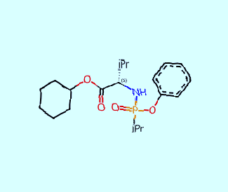 CC(C)[C@H](NP(=O)(Oc1ccccc1)C(C)C)C(=O)OC1CCCCC1